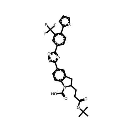 CC(C)(C)OC(=O)CCC1Cc2cc(-c3noc(-c4ccc(-c5cccs5)c(C(F)(F)F)c4)n3)ccc2N1C(=O)O